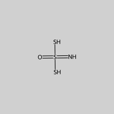 N=S(=O)(S)S